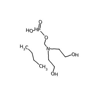 CCCC.O=[PH](O)OCN(CCO)CCO